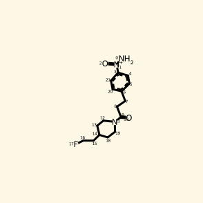 N[N+](=O)c1ccc(C[CH]C(=O)N2CCC(CCF)CC2)cc1